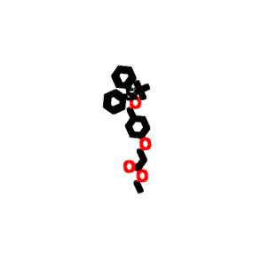 CCOC(=O)CCOC1CCC(CO[Si](c2ccccc2)(c2ccccc2)C(C)(C)C)CC1